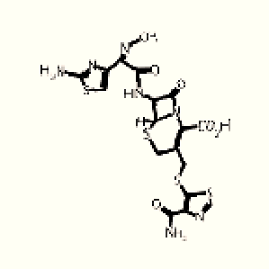 NC(=O)c1ncsc1SCC1=C(C(=O)O)N2C(=O)C(NC(=O)/C(=N\O)c3csc(N)n3)[C@H]2SC1